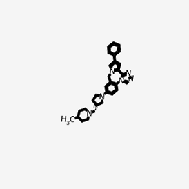 CC1CCN(C[C@@H]2CCN(c3ccc4c(c3)Cn3cc(-c5ccccc5)cc3-c3nncn3-4)C2)CC1